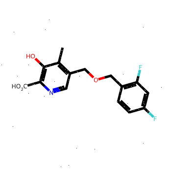 Cc1c(COCc2ccc(F)cc2F)cnc(C(=O)O)c1O